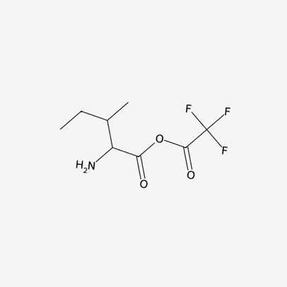 CCC(C)C(N)C(=O)OC(=O)C(F)(F)F